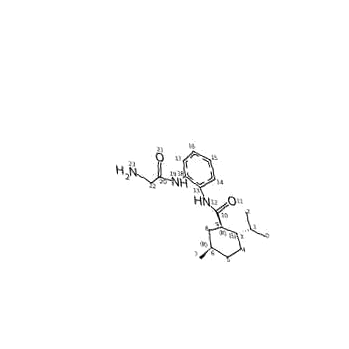 CC(C)[C@@H]1CC[C@@H](C)C[C@H]1C(=O)Nc1ccccc1NC(=O)CN